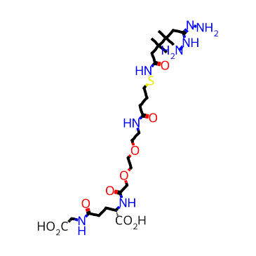 CC(C)(CC(=O)NSCCCC(=O)NCCOCCOCC(=O)N[C@@H](CCC(=O)NCC(=O)O)C(=O)O)C(C)(C)C/C(=N/N)NN